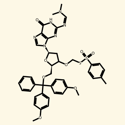 COc1ccc(C(OC[C@H]2O[C@@H](n3cnc4c(=O)[nH]c(/N=C\N(C)C)nc43)CC2OCSS(=O)(=O)c2ccc(C)cc2)(c2ccccc2)c2ccc(OC)cc2)cc1